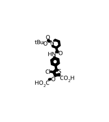 CC(C)(C)OC(=O)N1CCCC(C(=O)Nc2ccc(-c3sc(C(=O)O)c(OCC(=O)O)c3Cl)cc2)C1